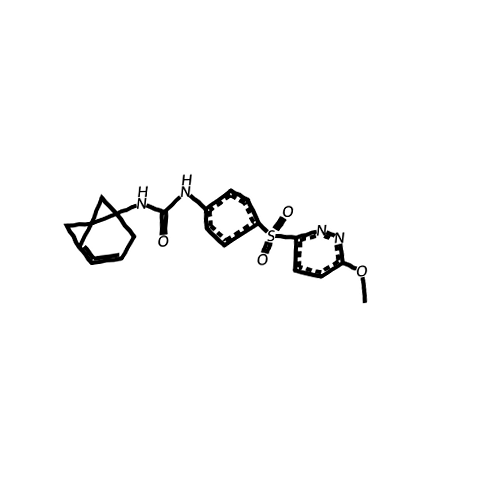 COc1ccc(S(=O)(=O)c2ccc(NC(=O)NC34CC=C=C5CC53C4)cc2)nn1